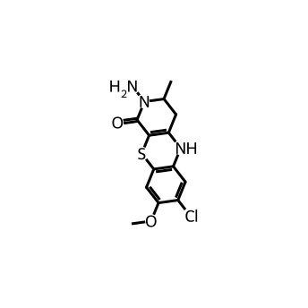 COc1cc2c(cc1Cl)NC1=C(S2)C(=O)N(N)C(C)C1